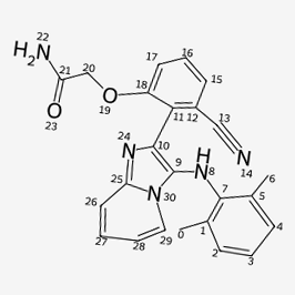 Cc1cccc(C)c1Nc1c(-c2c(C#N)cccc2OCC(N)=O)nc2ccccn12